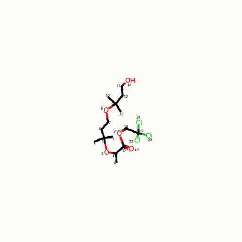 CC(OC(C)(C)CCOC(C)(C)CCO)C(=O)OCC(Cl)(Cl)Cl